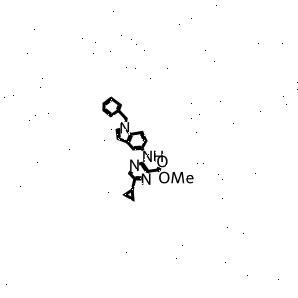 COC(=O)c1nc(C2CC2)cnc1Nc1ccc2c(ccn2Cc2ccccc2)c1